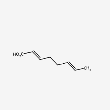 CC=CCCC=CC(=O)O